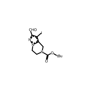 CC(C)(C)OC(=O)N1CCn2nc(C=O)c(I)c2C1